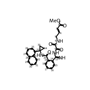 COC(=O)/C=C/CNC(=O)C(=O)NC(=N)c1ccccc1C(=O)NC1(c2cccc3ccccc23)CC1